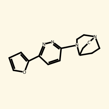 c1coc(-c2ccc(N3CCN4CCC3CC4)nn2)c1